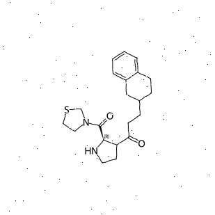 O=C(CCC1CCc2ccccc2C1)C1CCN[C@H]1C(=O)N1CCSC1